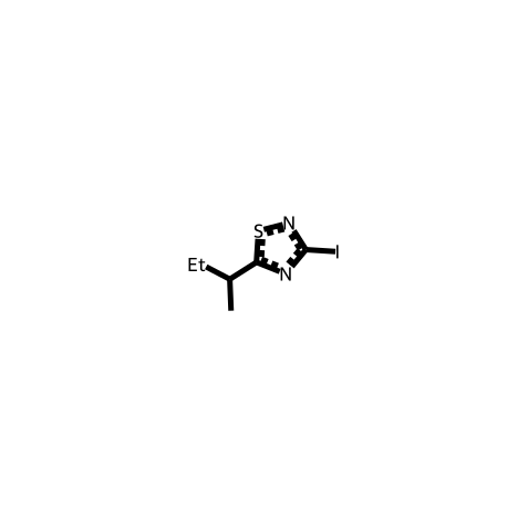 CCC(C)c1nc(I)ns1